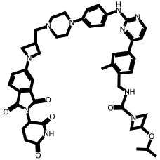 Cc1cc(-c2ccnc(Nc3ccc(N4CCN(CC5CN(c6ccc7c(c6)C(=O)N(C6CCC(=O)NC6=O)C7=O)C5)CC4)cc3)n2)ccc1CNC(=O)N1CC(OC(C)C)C1